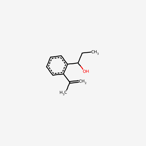 C=C(C)c1ccccc1C(O)CC